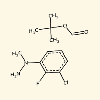 CC(C)(C)OC=O.CN(N)c1cccc(Cl)c1F